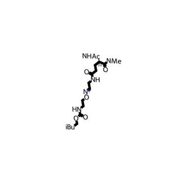 CCC(C)COC(=O)NCCO/N=C/CNC(=O)CC[C@H](NC(C)=O)C(=O)NC